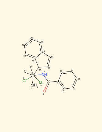 [CH3][Ti]([CH3])([SiH3])([Cl])([Cl])([NH]C(=O)c1ccccc1)[CH]1C=Cc2ccccc21